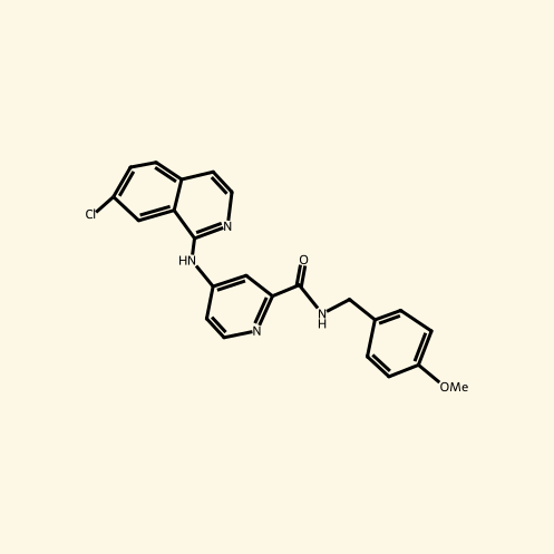 COc1ccc(CNC(=O)c2cc(Nc3nccc4ccc(Cl)cc34)ccn2)cc1